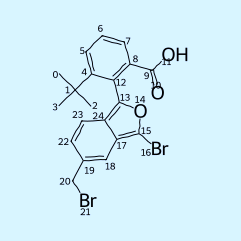 CC(C)(C)c1cccc(C(=O)O)c1-c1oc(Br)c2cc(CBr)ccc12